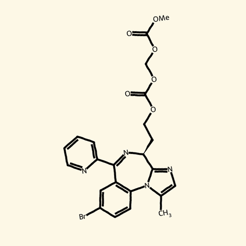 COC(=O)OCOC(=O)OCC[C@@H]1N=C(c2ccccn2)c2cc(Br)ccc2-n2c(C)cnc21